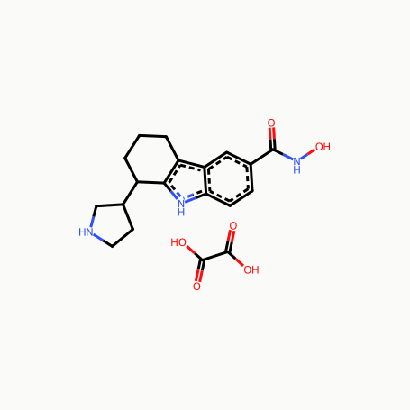 O=C(NO)c1ccc2[nH]c3c(c2c1)CCCC3C1CCNC1.O=C(O)C(=O)O